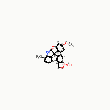 O=C1Nc2c(C(F)(F)F)cccc2C1(c1ccc(OC(F)(F)F)cc1)c1ccc2c(c1)COB2O